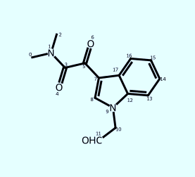 CN(C)C(=O)C(=O)c1cn(CC=O)c2ccccc12